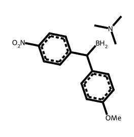 BC(c1ccc(OC)cc1)c1ccc([N+](=O)[O-])cc1.CN(C)C